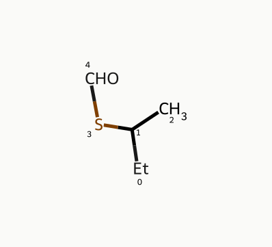 CCC(C)SC=O